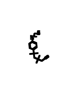 C#CCC(C)(C)CC(C)(C)c1ccc(N=C=S)cc1